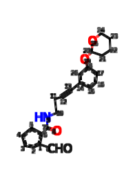 O=Cc1ccccc1C(=O)NCCC#Cc1cccc(OC2CCCCO2)c1